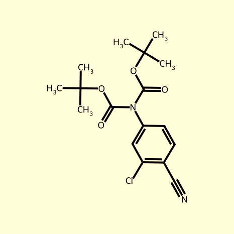 CC(C)(C)OC(=O)N(C(=O)OC(C)(C)C)c1ccc(C#N)c(Cl)c1